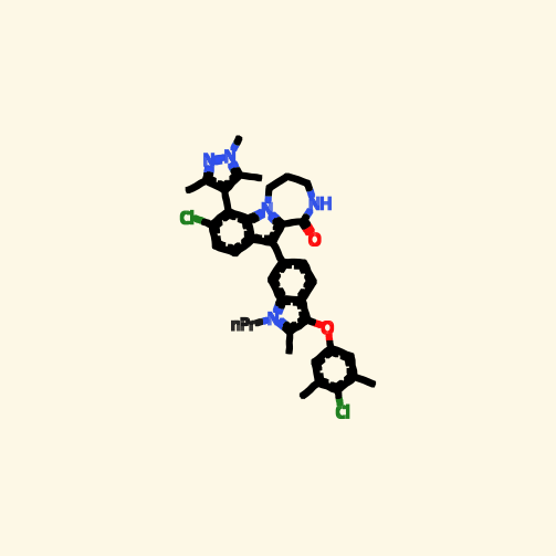 CCCn1c(C)c(Oc2cc(C)c(Cl)c(C)c2)c2ccc(-c3c4n(c5c(-c6c(C)nn(C)c6C)c(Cl)ccc35)CCCNC4=O)cc21